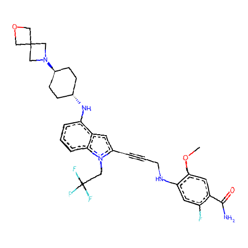 COc1cc(C(N)=O)c(F)cc1NCC#Cc1cc2c(N[C@H]3CC[C@H](N4CC5(COC5)C4)CC3)cccc2n1CC(F)(F)F